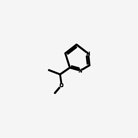 COC(C)c1ccncn1